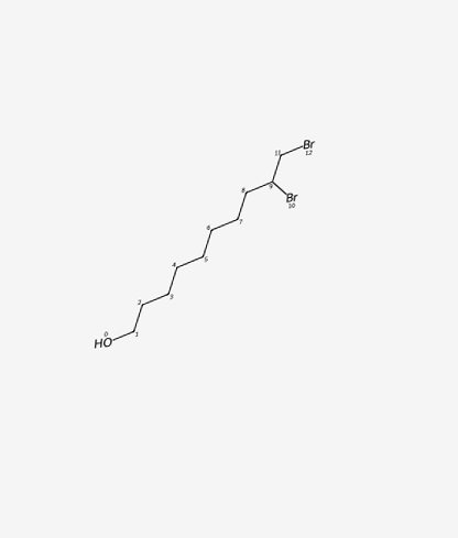 OCCCCCCCCC(Br)CBr